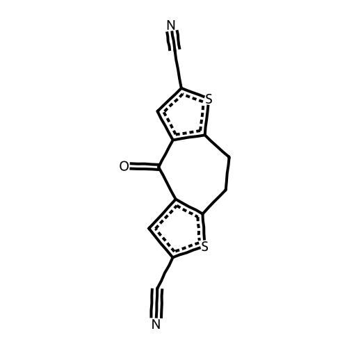 N#Cc1cc2c(s1)CCc1sc(C#N)cc1C2=O